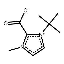 Cn1cc[n+](C(C)(C)C)c1C(=O)[O-]